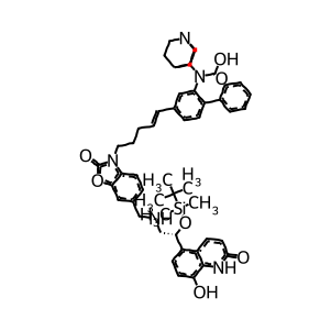 CC(C)(C)[Si](C)(C)O[C@@H](CNCc1ccc2c(c1)oc(=O)n2CCCC=Cc1ccc(-c2ccccc2)c(N(C(=O)O)C2CN3CCC2CC3)c1)c1ccc(O)c2[nH]c(=O)ccc12